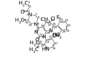 C=CC(=O)N1C[C@H](C)N(c2nc(=O)n(C3=C(C)C=CNC3C(C)C)c3nc(-c4c(O)cccc4F)c(Cl)cc23)C[C@H]1C